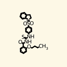 CCCCOc1ccccc1C(=O)NC(=S)Nc1ccc(S(=O)(=O)N2CCc3ccccc32)cc1